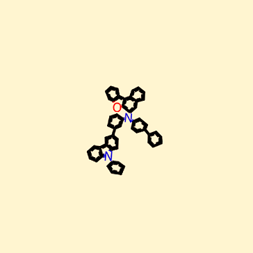 c1ccc(-c2ccc(N(c3cccc(-c4ccc5c(c4)c4ccccc4n5-c4ccccc4)c3)c3cc4ccccc4c4c3oc3ccccc34)cc2)cc1